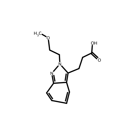 COCCn1nc2ccccc2c1CCC(=O)O